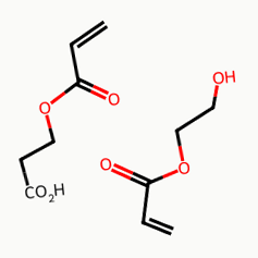 C=CC(=O)OCCC(=O)O.C=CC(=O)OCCO